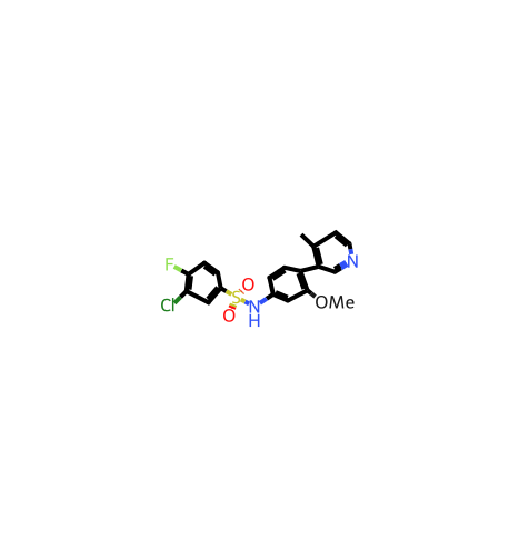 COc1cc(NS(=O)(=O)c2ccc(F)c(Cl)c2)ccc1-c1cnccc1C